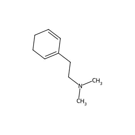 CN(C)CCC1=CCCC=C1